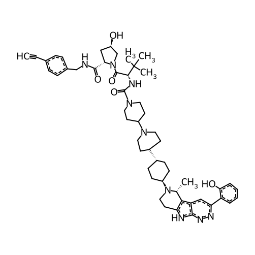 C#Cc1ccc(CNC(=O)[C@@H]2C[C@@H](O)CN2C(=O)[C@@H](NC(=O)N2CCC(N3CCC([C@H]4CC[C@H](N5CCc6[nH]c7nnc(-c8ccccc8O)cc7c6[C@H]5C)CC4)CC3)CC2)C(C)(C)C)cc1